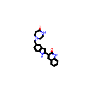 O=C1CCN(Cc2ccc3[nH]c(-c4cc5ccccc5[nH]c4=O)cc3c2)CCN1